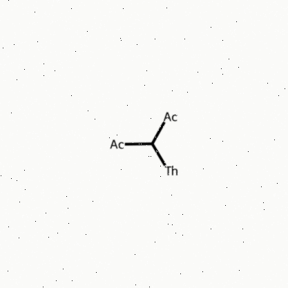 CC(=O)[CH]([Th])C(C)=O